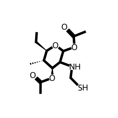 CC[C@H]1OC(OC(C)=O)C(NCS)[C@@H](OC(C)=O)[C@@H]1C